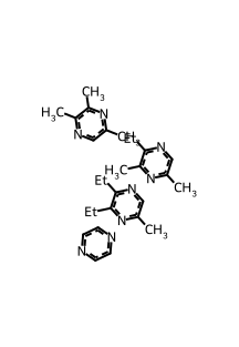 CCc1ncc(C)nc1C.CCc1ncc(C)nc1CC.Cc1cnc(C)c(C)n1.c1cnccn1